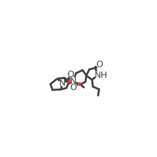 CCCC1NC(=O)CC12CCN(C1=CC3CCC(C1)N3C(=O)OCC)CC2